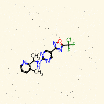 Cc1cccnc1C(C)Nc1ncc(-c2noc(C(F)(F)Cl)n2)cn1